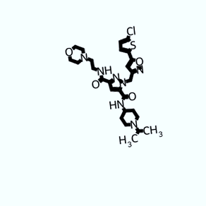 CC(C)N1CCC(NC(=O)c2cc(C(=O)NCCN3CCOCC3)nn2Cc2cc(-c3ccc(Cl)s3)on2)CC1